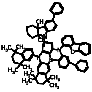 CC1(C)CCC(C)(C)c2cc(N3c4cc5c(cc4B4c6ccc(-c7ccccc7)cc6N(c6cccc7c6oc6ccccc67)c6cc(N7c8ccc(-c9ccccc9)cc8C8(C)CCCCC78C)cc3c64)C(C)(C)CCC5(C)C)ccc21